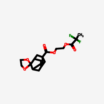 CC(F)(F)C(=O)OCCOC(=O)C12CC3CC(C1)C1(OCCO1)C(C3)C2